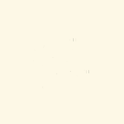 CCCCC(c1ccccc1)C(CCCC)c1ccccc1